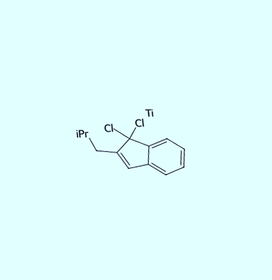 CC(C)CC1=Cc2ccccc2C1(Cl)Cl.[Ti]